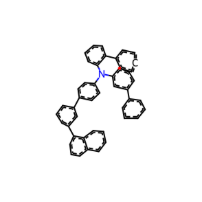 c1ccc(-c2cccc(N(c3ccc(-c4cccc(-c5cccc6ccccc56)c4)cc3)c3ccccc3-c3ccccc3)c2)cc1